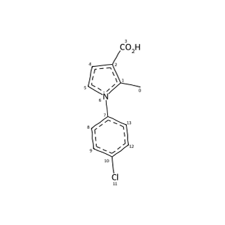 Cc1c(C(=O)O)ccn1-c1ccc(Cl)cc1